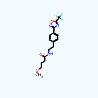 COCCCC(=O)NCCc1ccc(-c2noc(C(F)(F)F)n2)cc1